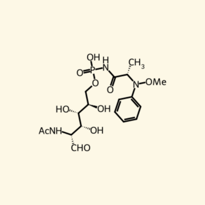 CON(c1ccccc1)[C@@H](C)C(=O)NP(=O)(O)OC[C@@H](O)[C@@H](O)[C@H](O)[C@H](C=O)NC(C)=O